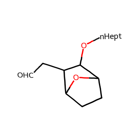 CCCCCCCOC1C2CCC(O2)C1CC=O